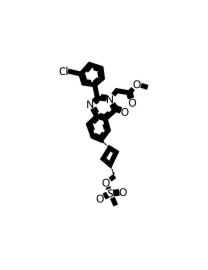 COC(=O)Cn1c(-c2cccc(Cl)c2)nc2ccc([C@H]3C[C@@H](COS(C)(=O)=O)C3)cc2c1=O